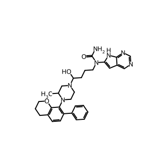 CC1CN(C(O)CCCN(C(N)=O)c2cc3cncnc3[nH]2)CCN1c1c(-c2ccccc2)ccc2c1OCCC2